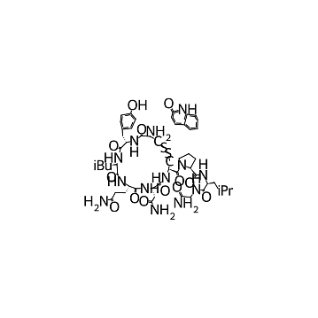 CC[C@H](C)[C@@H]1NC(=O)[C@H](Cc2ccc(O)cc2)NC(=O)[C@@H](N)CSSC[C@@H](C(=O)N2CCC[C@H]2C(=O)N[C@@H](CC(C)C)C(=O)NCC(N)=O)NC(=O)[C@H](CC(N)=O)NC(=O)[C@H](CCC(N)=O)NC1=O.O=c1ccc2ccccc2[nH]1